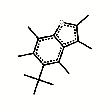 Cc1oc2c(C)c(C)c(C(C)(C)C)c(C)c2c1C